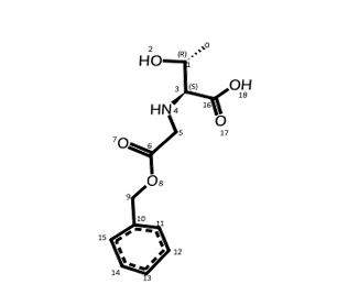 C[C@@H](O)[C@H](NCC(=O)OCc1ccccc1)C(=O)O